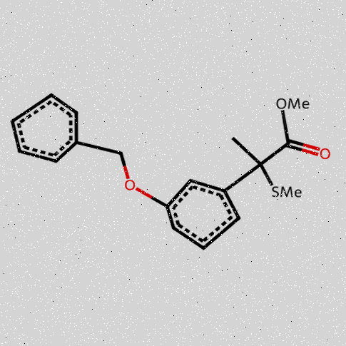 COC(=O)C(C)(SC)c1cccc(OCc2ccccc2)c1